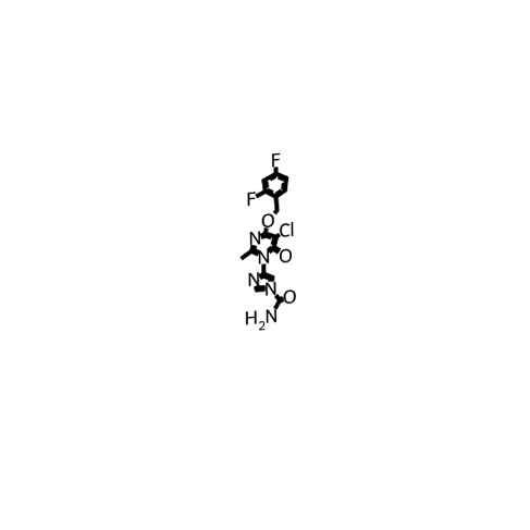 Cc1nc(OCc2ccc(F)cc2F)c(Cl)c(=O)n1-c1cn(C(N)=O)cn1